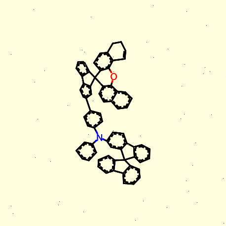 C1=Cc2c(ccc3c2Oc2c(ccc4ccccc24)C32c3ccccc3-c3ccc(-c4ccc(N(c5ccccc5)c5ccc6c(c5)C5(c7ccccc7-c7ccccc75)c5ccccc5-6)cc4)cc32)CC1